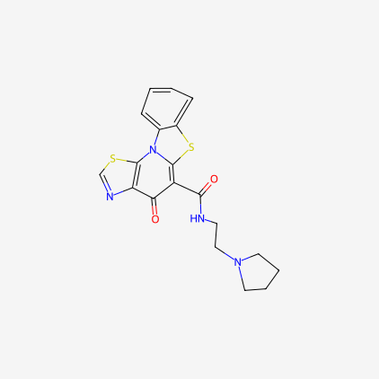 O=C(NCCN1CCCC1)c1c(=O)c2ncsc2n2c1sc1ccccc12